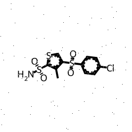 Cc1c(S(=O)(=O)c2ccc(Cl)cc2)csc1S(N)(=O)=O